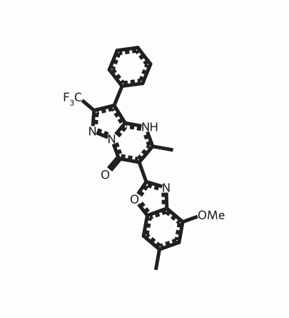 COc1cc(C)cc2oc(-c3c(C)[nH]c4c(-c5ccccc5)c(C(F)(F)F)nn4c3=O)nc12